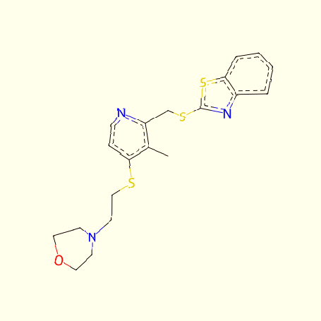 Cc1c(SCCN2CCOCC2)ccnc1CSc1nc2ccccc2s1